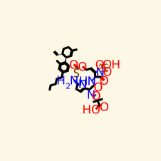 C=C[C@@H]1CCC(C)=C[C@H]1c1c(C)cc(CCCCC)cc1OC(=S)OC/C=C1\[C@H](NC(=O)/C(=N\OC(C)(C)C(=O)O)C2=CCC(N)=N2)C(=O)N1S(=O)(=O)O